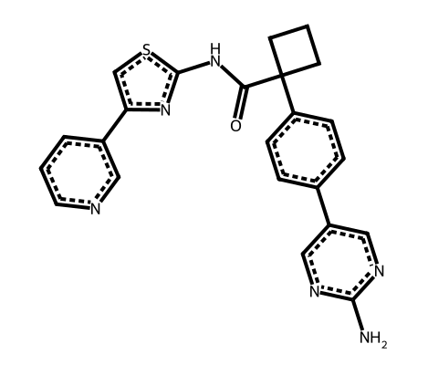 Nc1ncc(-c2ccc(C3(C(=O)Nc4nc(-c5cccnc5)cs4)CCC3)cc2)cn1